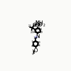 CCOc1ccc(/C=N/c2ccc(S(N)(=O)=O)c(C(C)(C)C)c2)cc1